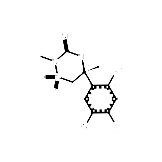 CN1C(=N)N[C@](C)(c2cc(N=O)c(F)cc2F)CS1(=O)=O